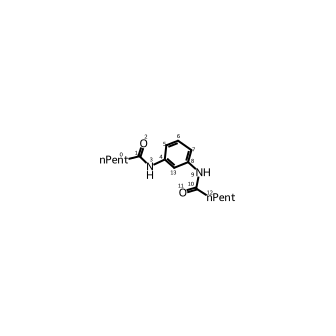 CCCCCC(=O)Nc1cccc(NC(=O)CCCCC)c1